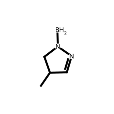 BN1CC(C)C=N1